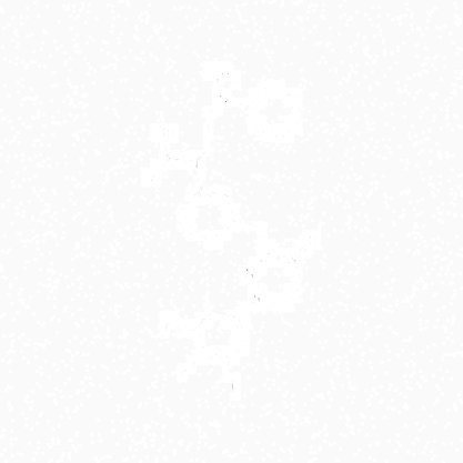 CN(CCN(C(=O)O)c1cccc(Cc2nn(-c3cc(F)c(F)c(F)c3)ccc2=O)c1)c1ccccc1